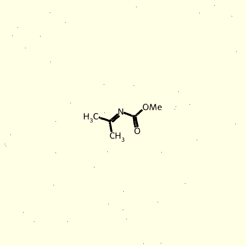 COC(=O)N=C(C)C